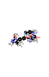 COC(=O)C[C@@H]1N=C(c2ccc(-c3ccc(OCC(=O)NC(C(=O)N4C[C@H](O)C[C@H]4C(=O)N[C@@H](C)c4ccc(-c5scnc5C)cc4)C(C)(C)C)c(F)c3)cc2)c2c(sc(C)c2C)-n2c(C)nnc21